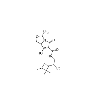 CCC(CNC(=O)C1=C(O)C2COC(C(F)(F)F)N2C1=O)C1CC(C)C1(C)C